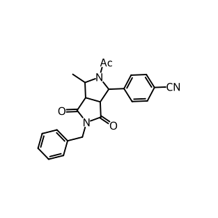 CC(=O)N1C(C)C2C(=O)N(Cc3ccccc3)C(=O)C2C1c1ccc(C#N)cc1